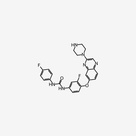 O=C(Nc1ccc(F)cc1)Nc1ccc(Oc2ccc3ncc(N4CCNCC4)nc3c2)c(F)c1